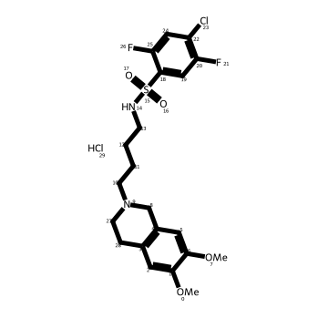 COc1cc2c(cc1OC)CN(CCCCNS(=O)(=O)c1cc(F)c(Cl)cc1F)CC2.Cl